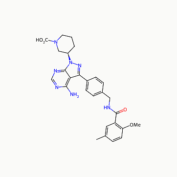 COc1ccc(C)cc1C(=O)NCc1ccc(-c2nn([C@@H]3CCCN(C(=O)O)C3)c3ncnc(N)c23)cc1